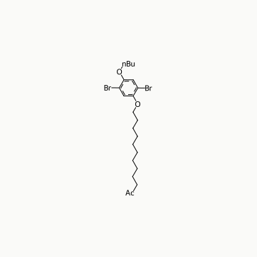 CCCCOc1cc(Br)c(OCCCCCCCCCCC(C)=O)cc1Br